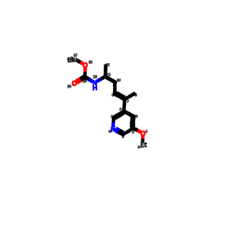 CCOc1cncc(C(C)=CCC(C)NC(=O)OC(C)(C)C)c1